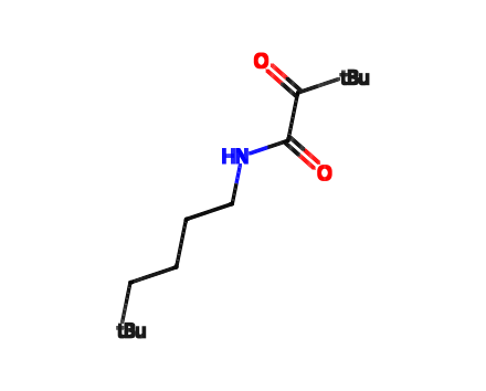 CC(C)(C)CCCCNC(=O)C(=O)C(C)(C)C